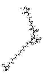 CNC(=O)COCCOCCNC(=O)CC[C@H](NC(=O)CCCCCCCCCCCCC(=O)O)C(=O)O